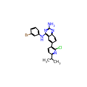 CC(C)c1ccc(-c2ccc3nc(N)nc(Nc4cccc(Br)c4)c3c2)c(Cl)n1